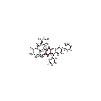 c1ccc(-c2ccc(N(c3ccccc3)c3ccc(C45c6ccccc6Sc6cccc(c64)Sc4ccccc45)cc3)cc2)cc1